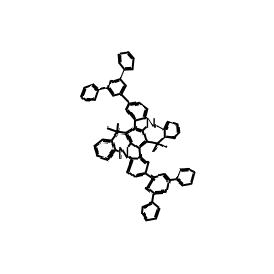 CC1(C)c2ccccc2-n2c3ccc(-c4cc(-c5ccccc5)cc(-c5ccccc5)c4)cc3c3c4c5c(c1c32)c1cc(-c2cc(-c3ccccc3)cc(-c3ccccc3)c2)ccc1n5-c1ccccc1C4(C)C